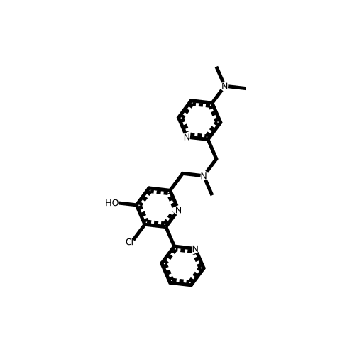 CN(Cc1cc(N(C)C)ccn1)Cc1cc(O)c(Cl)c(-c2ccccn2)n1